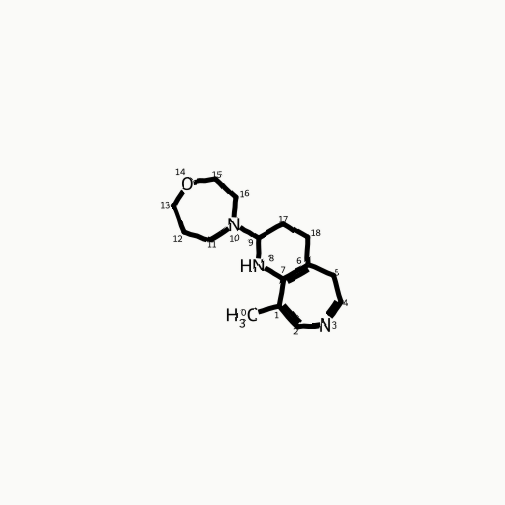 CC1=CN=CCC2=C1NC(N1CCCOCC1)CC2